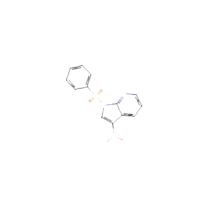 O=S(=O)(c1ccccc1)n1cc(B(O)O)c2cccnc21